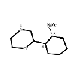 CN[C@@H]1CCCC[C@H]1C1CNCCO1